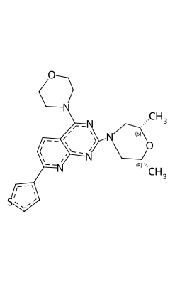 C[C@@H]1CN(c2nc(N3CCOCC3)c3ccc(-c4ccsc4)nc3n2)C[C@H](C)O1